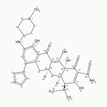 CN1CCC(Nc2cc(-c3ccoc3)c3c(c2O)C(=O)C2=C(O)[C@@]4(O)C(=O)C(C(N)=O)=C(O)[C@@H](N(C)C)[C@H]4C[C@H]2C3)CC1